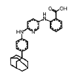 O=C(O)c1ccccc1Nc1ccc(Nc2ccc(C34CC5CC(CC(C5)C3)C4)cc2)nc1